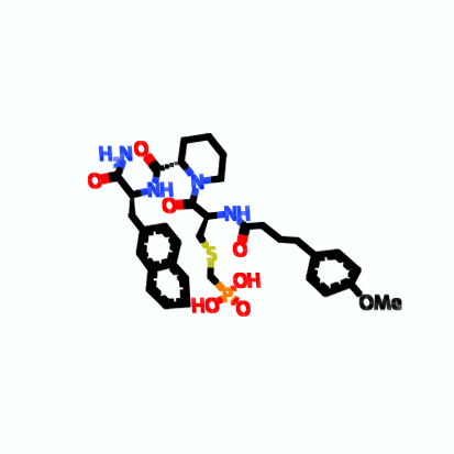 COc1ccc(CCCC(=O)N[C@@H](CSCP(=O)(O)O)C(=O)N2CCCC[C@H]2C(=O)N[C@@H](Cc2ccc3ccccc3c2)C(N)=O)cc1